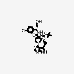 CC(C)(C)OC(=O)NC1(C(=O)N[C@@H](CCO)c2ccc(Cl)cc2)CCN(c2ncnc3[nH]cc(C4CC4)c23)CC1